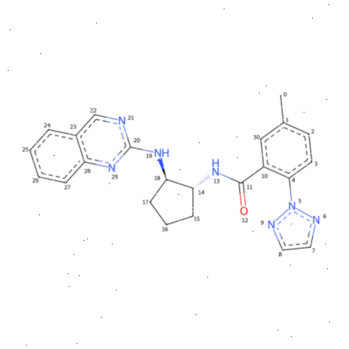 Cc1ccc(-n2nccn2)c(C(=O)N[C@@H]2CCC[C@H]2Nc2ncc3ccccc3n2)c1